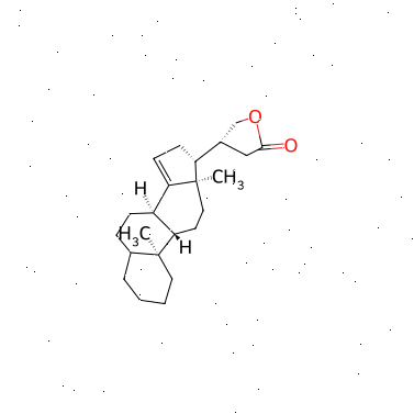 C[C@]12CC[C@H]3[C@@H](CCC4CCCC[C@@]43C)C1=CC[C@@H]2[C@@H]1COC(=O)C1